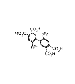 CCCc1cc(C(=O)O)c(C(=O)O)cc1-c1cc(C(=O)O)c(C(=O)O)cc1CCC